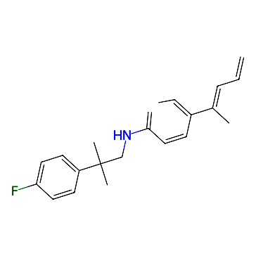 C=C/C=C(C)/C(/C=C\C(=C)NCC(C)(C)c1ccc(F)cc1)=C/C